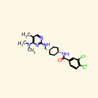 Cc1cnc(NC[C@H]2CC[C@@H](NC(=O)c3ccc(Cl)c(Cl)c3)CC2)nc1N(C)C